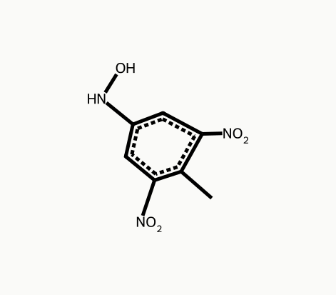 Cc1c([N+](=O)[O-])cc(NO)cc1[N+](=O)[O-]